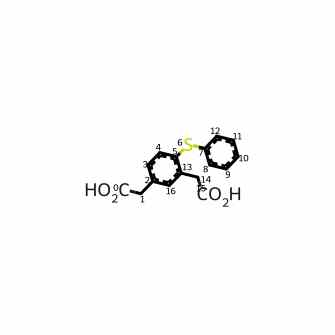 O=C(O)Cc1ccc(Sc2ccccc2)c(CC(=O)O)c1